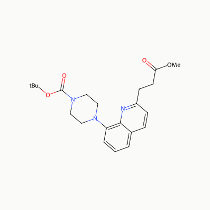 COC(=O)CCc1ccc2cccc(N3CCN(C(=O)OC(C)(C)C)CC3)c2n1